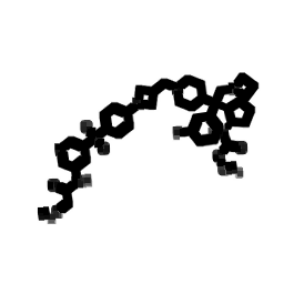 C=CC(=O)Nc1cncc(S(=O)(=O)c2ccc(N3CC(CN4CCC(C(CN5CCC5)(c5cccc(F)c5)[C@H]5CCC[C@@H]5NC(=O)OC)CC4)C3)cc2)c1